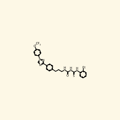 CCc1ccccc1NC(=S)NC(=O)NCCCc1ccc(-c2ncn(-c3ccc(OC(F)(F)F)cc3)n2)cc1